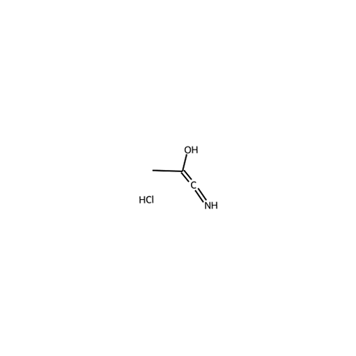 CC(O)=C=N.Cl